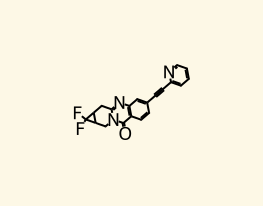 O=c1c2ccc(C#Cc3ccccn3)cc2nc2n1CC1C(C2)C1(F)F